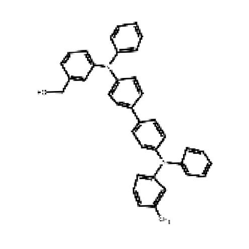 Cc1cccc(N(c2ccccc2)c2ccc(-c3ccc(N(c4ccccc4)c4cccc(CO)c4)cc3)cc2)c1